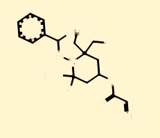 C=CC(=O)OC1CC(C)(C)N(OC(C)c2ccccc2)C(CC)(CC)C1